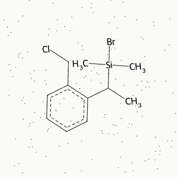 CC(c1ccccc1CCl)[Si](C)(C)Br